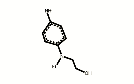 CCN(CCO)c1ccc([NH])cc1